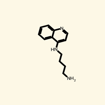 NCCCCNc1ccnc2ccccc12